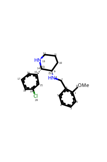 COc1ccccc1CN[C@H]1CCCN[C@H]1c1cccc(Cl)c1